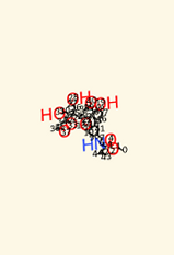 CCOC(=O)C(NCc1ccc(OC)c(-c2ccc(O)c3c2CC(CC(CCO)C(CO)C(=O)CC(C)=O)CC3=O)c1)C(C)C